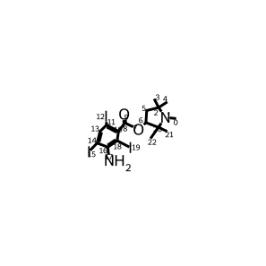 CN1C(C)(C)CC(OC(=O)c2c(I)cc(I)c(N)c2I)C1(C)C